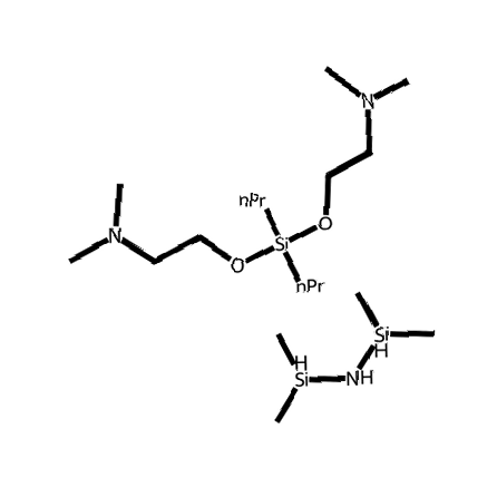 CCC[Si](CCC)(OCCN(C)C)OCCN(C)C.C[SiH](C)N[SiH](C)C